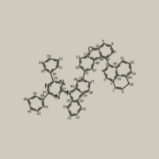 C1=Cc2ccc(-c3cccc4oc5ccc(-c6ccc7c8ccccc8n(-c8nc(-c9ccccc9)nc(-c9ccccc9)n8)c7c6)cc5c34)c3cccc(c23)C1